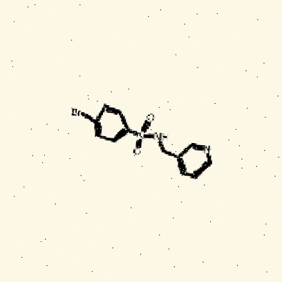 O=S(=O)(NCc1cccnc1)c1ccc(Br)cc1